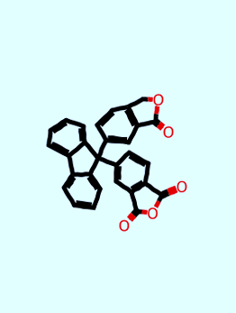 O=C1OCc2ccc(C3(c4ccc5c(c4)C(=O)OC5=O)c4ccccc4-c4ccccc43)cc21